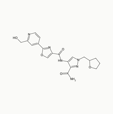 NC(=O)c1nn(CC2CCCO2)cc1NC(=O)c1coc(-c2ccnc(CO)c2)n1